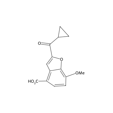 COc1ccc(C(=O)O)c2cc(C(=O)C3CC3)oc12